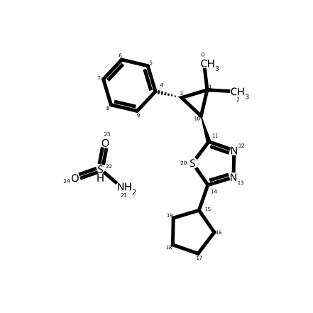 CC1(C)[C@@H](c2ccccc2)[C@@H]1c1nnc(C2CCCC2)s1.N[SH](=O)=O